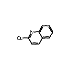 [Cu][c]1ccc2ccccc2n1